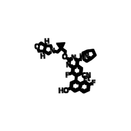 CCc1c(F)ccc2cc(O)cc(-c3c(C#N)cc4c(N5CC6CCC(C5)N6)nc(OCC5(CN6C[C@H]7COC[C@@H]7C6)CC5)nc4c3F)c12